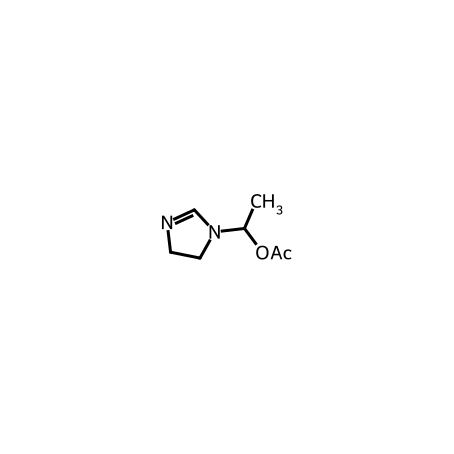 CC(=O)OC(C)N1C=NCC1